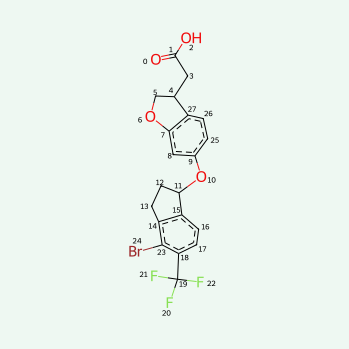 O=C(O)CC1COc2cc(OC3CCc4c3ccc(C(F)(F)F)c4Br)ccc21